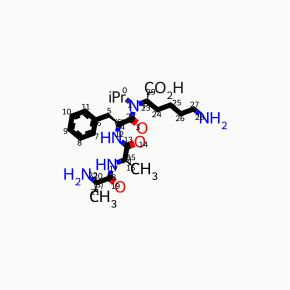 CC(C)N(C(=O)[C@H](Cc1ccccc1)NC(=O)[C@H](C)NC(=O)[C@H](C)N)[C@@H](CCCCN)C(=O)O